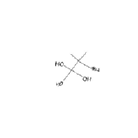 CCC(C)C(C)(C)C(O)(O)O